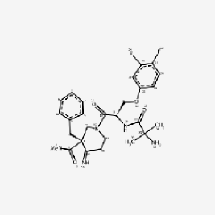 CNC(=O)[C@]1(Cc2ccccc2)CN(C(=O)[C@@H](COc2ccc(F)c(F)c2)NC(=O)C(C)(C)N)CCC1=N